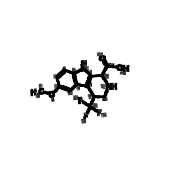 COc1ccc2[nH]c3c(c2c1)C(C(F)(F)F)CNC3C(=O)O